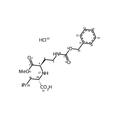 COC(=O)[C@@H](CCNC(=O)OCc1ccccc1)N[C@@H](CC(C)C)C(=O)O.Cl